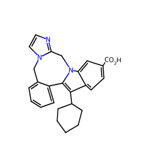 O=C(O)c1ccc2c(C3CCCCC3)c3n(c2c1)Cc1nccn1Cc1ccccc1-3